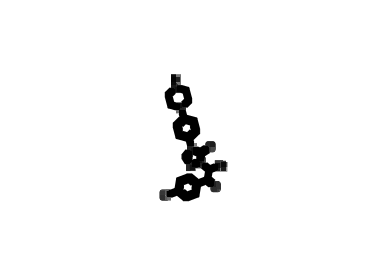 CCC(C(=O)c1ccc(Cl)cc1)n1ncn(-c2ccc(N3CCNCC3)cc2)c1=O